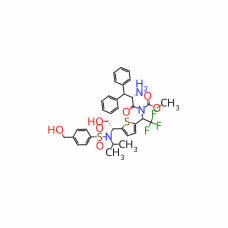 COC(=O)N(C(=O)[C@@H](N)C(c1ccccc1)c1ccccc1)[C@H](c1ccc([C@@H](CO)N(C(C)C)S(=O)(=O)c2ccc(CO)cc2)s1)C(F)(F)F